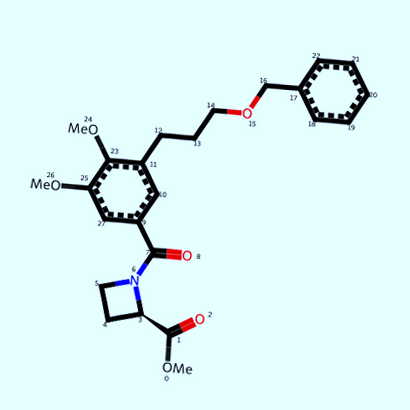 COC(=O)[C@H]1CCN1C(=O)c1cc(CCCOCc2ccccc2)c(OC)c(OC)c1